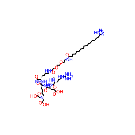 CN[C@@H](CCCNC(=N)N)C(=O)N[C@@H](CCC(=O)O)C(=O)N[C@@H](CCCCN(CC(=O)O)CC(=O)O)C(=O)N[C@@H](CCCCNC(=O)COCCOCCNC(=O)CCCCCCCCCCCCCCCc1nnn[nH]1)C(N)=O